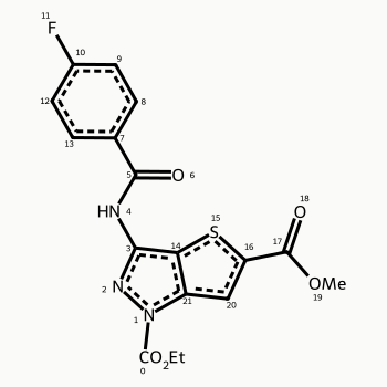 CCOC(=O)n1nc(NC(=O)c2ccc(F)cc2)c2sc(C(=O)OC)cc21